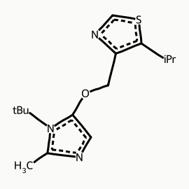 Cc1ncc(OCc2ncsc2C(C)C)n1C(C)(C)C